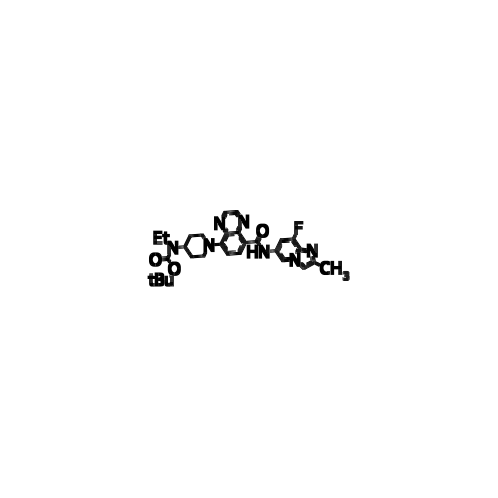 CCN(C(=O)OC(C)(C)C)C1CCN(c2ccc(C(=O)Nc3cc(F)c4nc(C)cn4c3)c3nccnc23)CC1